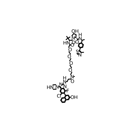 Cc1ncsc1-c1ccc(C(C)NC(=O)[C@@H]2C[C@@H](O)CN2C(=O)C(NC(=O)COCCOCCOCCOCCN(C)C(=O)CCNc2nc(N3CCNCC3)c3cc(Cl)c(-c4cc(O)cc5ccccc45)c(F)c3n2)C(C)(C)C)cc1